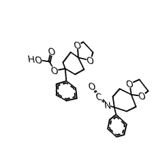 O=C(O)OC1(c2ccccc2)CCC2(CC1)OCCO2.O=C=NC1(c2ccccc2)CCC2(CC1)OCCO2